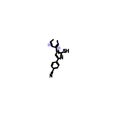 C/C=C\C(=C/C)n1cc(-c2ccc(C#N)cc2)nc1S